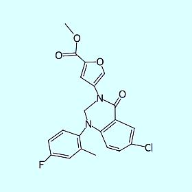 COC(=O)c1cc(N2CN(c3ccc(F)cc3C)c3ccc(Cl)cc3C2=O)co1